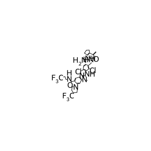 C=C(C(=O)NCc1ccc(Cl)c(Nc2nc3cc(C(=O)NCCC(F)(F)F)c(N4CCC(C(F)(F)F)CC4)cc3n2C)c1Cl)C1=C(NN)CCC1